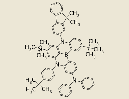 CC(C)(C)c1ccc(N2c3cc(N(c4ccccc4)c4ccccc4)ccc3B3c4cc(C(C)(C)C)ccc4N(c4ccc5c(c4)C(C)(C)c4ccccc4-5)c4cc([Si](C)(C)C)cc2c43)cc1